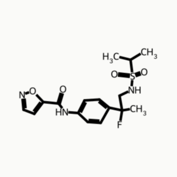 CC(C)S(=O)(=O)NCC(C)(F)c1ccc(NC(=O)c2ccno2)cc1